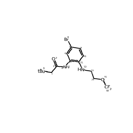 CC(C)(C)CC(=O)Nc1cc(Br)ccc1NCCOC(F)(F)F